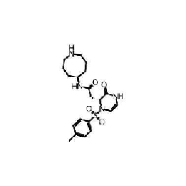 Cc1ccc(S(=O)(=O)N2C=CNC(=O)[C@H]2CC(=O)NC2CCCNCCC2)cc1